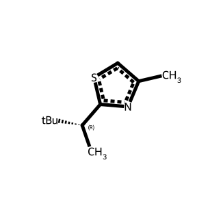 Cc1csc([C@H](C)C(C)(C)C)n1